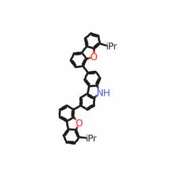 CC(C)c1cccc2c1oc1c(-c3ccc4[nH]c5ccc(-c6cccc7c6oc6c(C(C)C)cccc67)cc5c4c3)cccc12